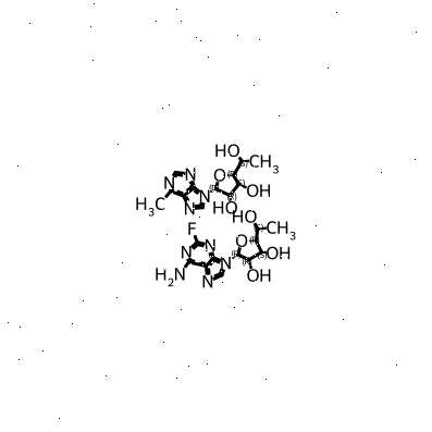 C[C@H](O)[C@H]1O[C@@H](n2cnc3c(N)nc(F)nc32)[C@H](O)[C@@H]1O.Cc1ncnc2c1ncn2[C@@H]1O[C@H]([C@H](C)O)[C@@H](O)[C@H]1O